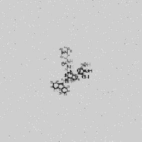 CC(C)N(CCNC(=O)NCc1nc(NCC2c3ccccc3-c3ccccc32)c2ncn([C@@H]3O[C@H](CO)[C@@H](O)[C@@H]3O)c2n1)C(C)C